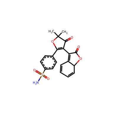 CC1(C)OC(c2ccc(S(N)(=O)=O)cc2)=C(C2=C3C=CC=CC3OC2=O)C1=O